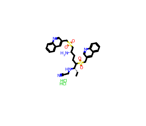 CC[C@H](NCC#N)C(CC[C@H](N)CS(=O)(=O)Cc1cnc2ccccc2c1)S(=O)(=O)Cc1cnc2ccccc2c1.Cl.Cl